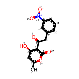 Cc1cc(O)c(C(=O)Cc2cccc([N+](=O)[O-])c2)c(=O)o1